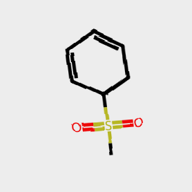 CS(=O)(=O)[C]1C=CC=CC1